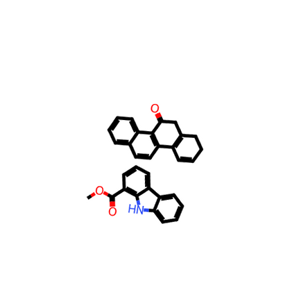 COC(=O)c1cccc2c1[nH]c1ccccc12.O=C1CC2=C(C=CCC2)c2ccc3ccccc3c21